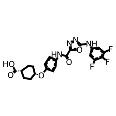 O=C(Nc1ccc(O[C@H]2CC[C@@H](C(=O)O)CC2)cc1)c1nnc(Nc2cc(F)c(F)c(F)c2)o1